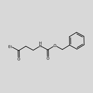 CCC(=O)CCNC(=O)OCc1ccccc1